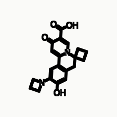 O=C(O)c1cn2c(cc1=O)-c1cc(N3CCC3)c(O)cc1CC21CCC1